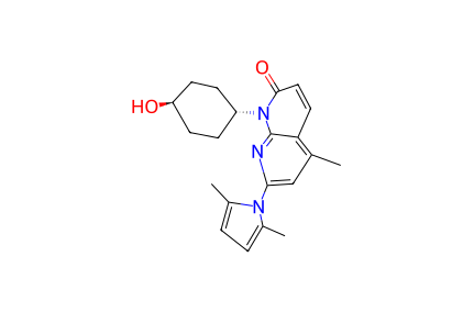 Cc1cc(-n2c(C)ccc2C)nc2c1ccc(=O)n2[C@H]1CC[C@H](O)CC1